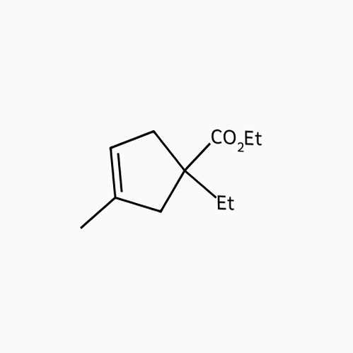 CCOC(=O)C1(CC)CC=C(C)C1